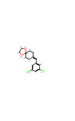 Clc1cc(Cl)cc(C=C2CCC3(CC2)OCCO3)c1